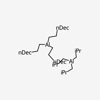 CC(C)[CH2][Al]([CH2]C(C)C)[CH2]C(C)C.CCCCCCCCCCC[CH2][Al]([CH2]CCCCCCCCCCC)[CH2]CCCCCCCCCCC